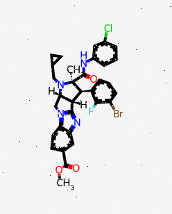 COC(=O)c1ccc2c(c1)nc1n2C[C@H]2[C@@H]1[C@H](c1cccc(Br)c1F)[C@](C)(C(=O)Nc1cccc(Cl)c1)N2CC1CC1